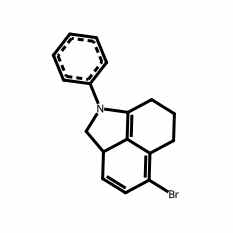 BrC1=C2CCCC3=C2C(C=C1)CN3c1ccccc1